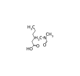 CCCCCC(=O)O.CN(C)C=O